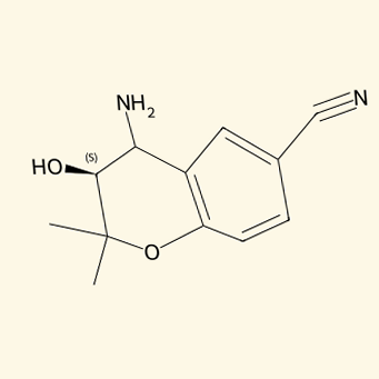 CC1(C)Oc2ccc(C#N)cc2C(N)[C@@H]1O